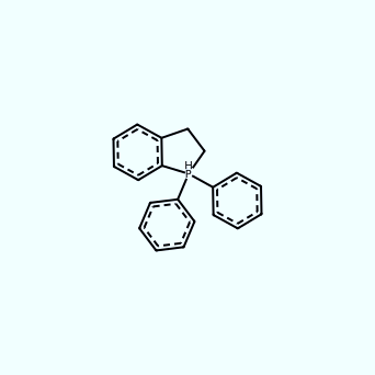 c1ccc([PH]2(c3ccccc3)CCc3ccccc32)cc1